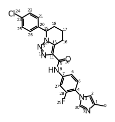 Cc1cn(-c2ccc(NC(=O)c3nnn4c3CCCC4c3ccc(Cl)cc3)cc2F)cn1